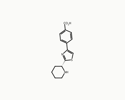 O=C(O)c1ccc(-c2csc([C@H]3CCCCN3)n2)cc1